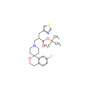 CC(C)(C)OC(=O)C(Cc1cscn1)CN1CCC2(CC1)OCCc1ccc(F)cc12